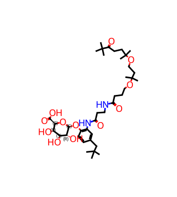 CC(C)(C)Cc1ccc(O[C@@H]2O[C@H](C(=O)O)[C@@H](O)[C@H](O)[C@H]2O)c(NC(=O)CCNC(=O)CCCOC(C)(C)CCOC(C)(C)CCC(=O)C(C)(C)C)c1